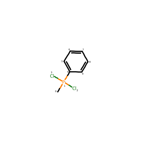 C[P](Cl)(Cl)c1ccccc1